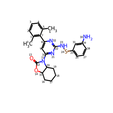 Cc1cccc(C)c1-c1cc(N2C(=O)OC3CCCCC32)nc(NSc2cccc(N)c2)n1